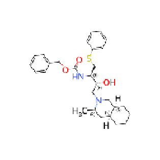 C[C@@H]1C[C@@H]2CCCC[C@@H]2CN1C[C@@H](O)[C@H](CSc1ccccc1)NC(=O)OCc1ccccc1